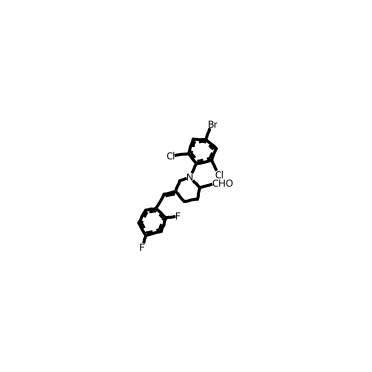 O=CC1CC/C(=C\c2ccc(F)cc2F)CN1c1c(Cl)cc(Br)cc1Cl